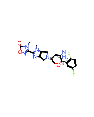 Cn1c(-c2noc(=O)n2C)nc2c1CN([C@H]1CO[C@H](c3cc(F)ccc3F)[C@@H](N)C1)C2